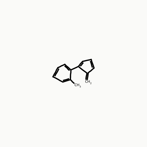 C=C1C=CC=C1c1ccccc1C